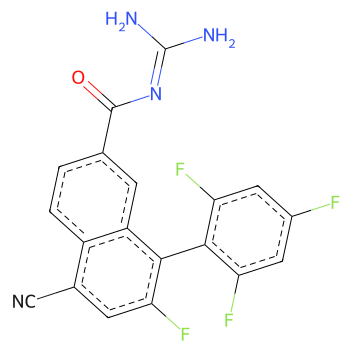 N#Cc1cc(F)c(-c2c(F)cc(F)cc2F)c2cc(C(=O)N=C(N)N)ccc12